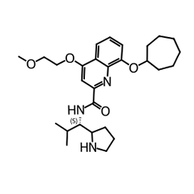 COCCOc1cc(C(=O)N[C@@H](C(C)C)C2CCCN2)nc2c(OC3CCCCCC3)cccc12